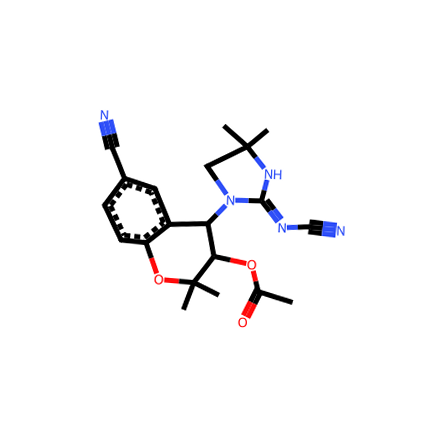 CC(=O)OC1C(N2CC(C)(C)N/C2=N\C#N)c2cc(C#N)ccc2OC1(C)C